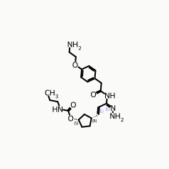 CCCNC(=O)O[C@H]1CC[C@@H](/C=C/C(=N\N)NC(=O)Cc2ccc(OCCN)cc2)C1